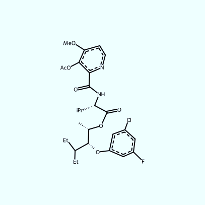 CCC(CC)[C@@H](Oc1cc(F)cc(Cl)c1)[C@H](C)OC(=O)[C@@H](NC(=O)c1nccc(OC)c1OC(C)=O)C(C)C